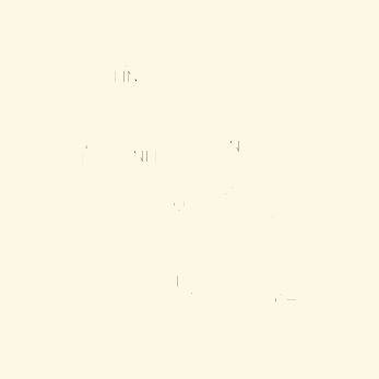 C=C(C)OC(=O)N1CCC[C@H]1C(=N)NO